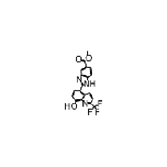 COC(=O)c1ccc2[nH]c(-c3ccc(O)c4nc(C(F)(F)F)ccc34)nc2c1